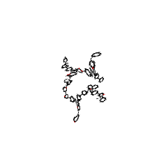 c1ccc(-c2ccc(N(c3ccc(-c4ccccc4)cc3)c3ccc(-c4ccc(N(c5ccc(-c6ccc(-c7ccccc7)s6)cc5)c5ccc(-c6ccc(-c7cccc(-c8cccc(-c9ccc(N(c%10ccc(-c%11ccccc%11)cc%10)c%10ccc(-c%11ccc(N(c%12ccc(-c%13ccc(-c%14ccccc%14)s%13)cc%12)c%12cccc%13ccccc%12%13)cc%11)cc%10)cc9)c8)c7)s6)cc5)cc4)cc3)cc2)cc1